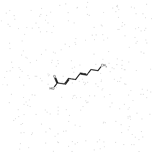 CCCC=CCC=CC(=O)O